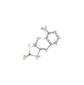 Cc1cccc(C=C2NC(=O)SC2=O)c1